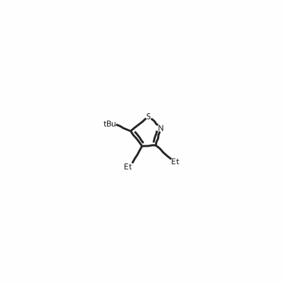 CCc1nsc(C(C)(C)C)c1CC